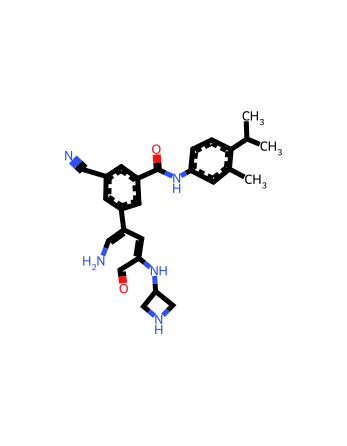 Cc1cc(NC(=O)c2cc(C#N)cc(C(/C=C(\C=O)NC3CNC3)=C/N)c2)ccc1C(C)C